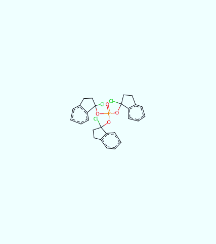 O=P(OC1(Cl)CCc2ccccc21)(OC1(Cl)CCc2ccccc21)OC1(Cl)CCc2ccccc21